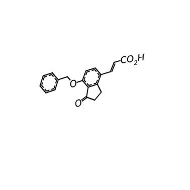 O=C(O)/C=C/c1ccc(OCc2ccccc2)c2c1CCC2=O